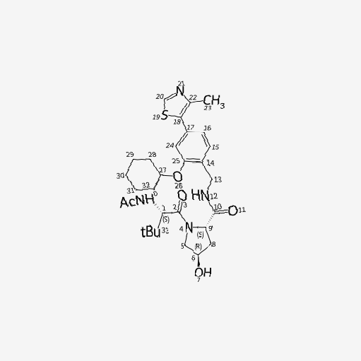 CC(=O)N[C@H](C(=O)N1C[C@H](O)C[C@H]1C(=O)NCc1ccc(-c2scnc2C)cc1OC1CCCCC1)C(C)(C)C